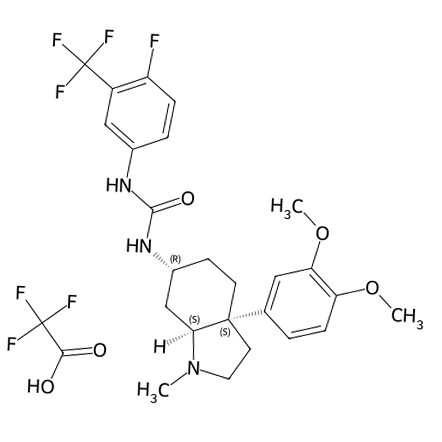 COc1ccc([C@@]23CC[C@@H](NC(=O)Nc4ccc(F)c(C(F)(F)F)c4)C[C@@H]2N(C)CC3)cc1OC.O=C(O)C(F)(F)F